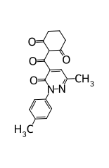 Cc1ccc(-n2nc(C)cc(C(=O)C3C(=O)CCCC3=O)c2=O)cc1